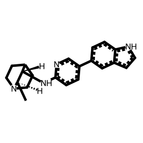 C[C@@H]1[C@@H](Nc2ccc(-c3ccc4[nH]ccc4c3)cn2)C2CCN1CC2